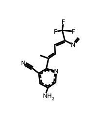 C=N/C(=C\C=C(/C)c1ncc(N)cc1C#N)C(F)(F)F